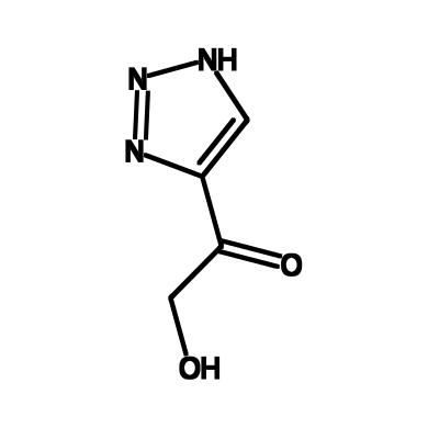 O=C(CO)c1c[nH]nn1